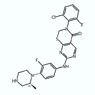 C[C@H]1CNCCN1c1ccc(Nc2ncc3c(n2)SCN(c2c(F)cccc2Cl)C3=O)cc1F